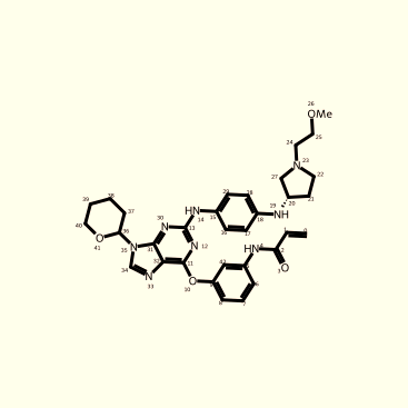 C=CC(=O)Nc1cccc(Oc2nc(Nc3ccc(N[C@H]4CCN(CCOC)C4)cc3)nc3c2ncn3C2CCCCO2)c1